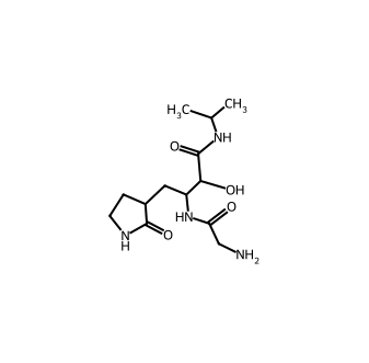 CC(C)NC(=O)C(O)C(CC1CCNC1=O)NC(=O)CN